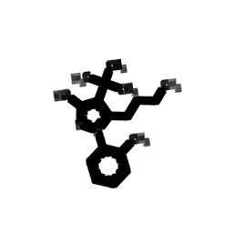 CCCCc1c(C(C)(C)C)c(O)nn1-c1ccccc1C